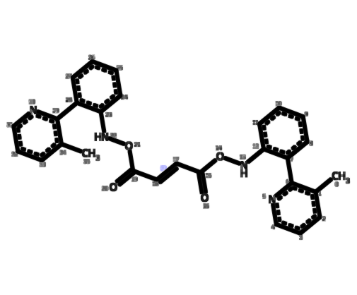 Cc1cccnc1-c1ccccc1NOC(=O)/C=C/C(=O)ONc1ccccc1-c1ncccc1C